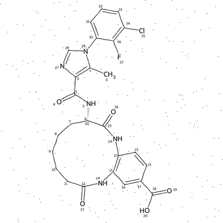 Cc1c(C(=O)N[C@H]2CCCCCC(=O)Nc3cc(C(=O)O)ccc3NC2=O)ncn1-c1cccc(Cl)c1F